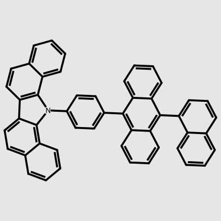 c1ccc2c(-c3c4ccccc4c(-c4ccc(-n5c6c7ccccc7ccc6c6ccc7ccccc7c65)cc4)c4ccccc34)cccc2c1